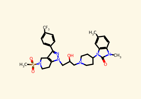 Cc1ccc2c(c1)n(C1CCN(CC(O)Cn3nc(-c4ccc(C(F)(F)F)cc4)c4c3CCN(S(C)(=O)=O)C4)CC1)c(=O)n2C